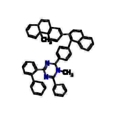 CN1C(c2ccccc2)=NC(c2ccccc2-c2ccccc2)=NC1c1ccc(-c2c(-c3ccc4c(c3)C=CC3C=CC=CC43C)ccc3ccccc23)cc1